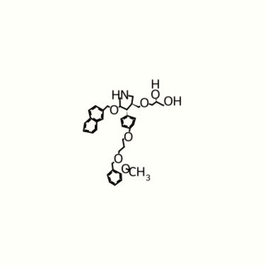 COc1ccccc1COCCCOc1ccc([C@H]2[C@H](COC[C@H](O)CO)CNC[C@@H]2OCc2ccc3ccccc3c2)cc1